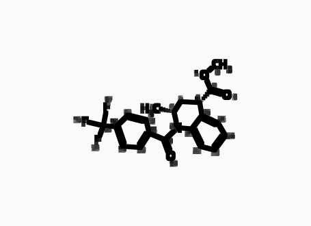 COC(=O)[C@H]1C[C@@H](C)N(C(=O)c2ccc(C(F)(F)F)cc2)c2ccccc21